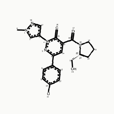 Cn1cc(-n2nc(-c3ccc(Cl)cc3)cc(C(=O)N3CCC[C@@H]3CO)c2=O)cn1